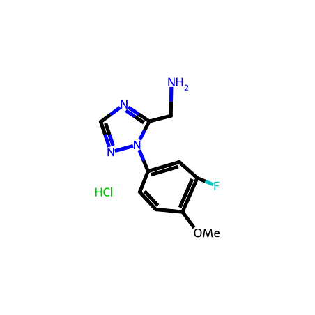 COc1ccc(-n2ncnc2CN)cc1F.Cl